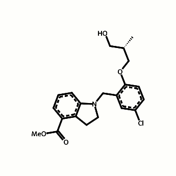 COC(=O)c1cccc2c1CCN2Cc1cc(Cl)ccc1OC[C@@H](C)CO